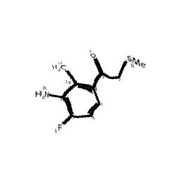 CSCC(=O)c1ccc(F)c(N)c1C